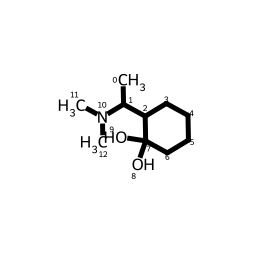 CC(C1CCCCC1(O)O)N(C)C